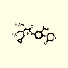 NC[C@H](C(=O)Nc1ccc(N2CCOCC2=O)c(C(F)F)c1)N(CC1CC1)CC(F)(F)F